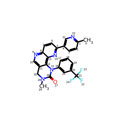 Cc1ccc(-c2ccc3ncc4c(c3n2)N(c2cccc(C(F)(F)F)c2)C(=O)N(C)C4)cn1